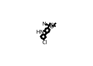 CC(C#N)(O[Si](C)(C)C)c1ccc2c(c1)[nH]c1ccc(Cl)cc12